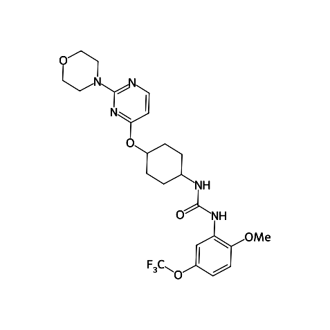 COc1ccc(OC(F)(F)F)cc1NC(=O)NC1CCC(Oc2ccnc(N3CCOCC3)n2)CC1